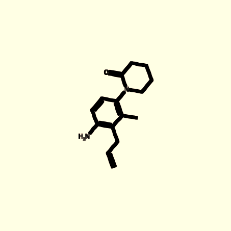 C=CCc1c(N)ccc(N2CCCCC2=O)c1C